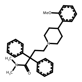 COc1ccccc1C1CCN(CCC(C(=O)N(C)C)(c2ccccc2)c2ccccc2)CC1